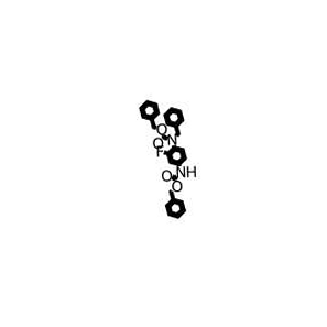 O=C(Nc1ccc(N(Cc2ccccc2)C(=O)OCc2ccccc2)c(F)c1)OCc1ccccc1